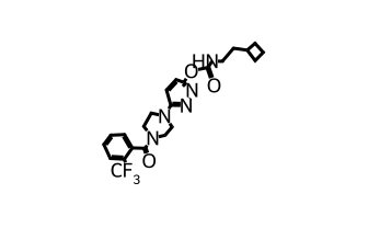 O=C(NCCC1CCC1)Oc1ccc(N2CCN(C(=O)c3ccccc3C(F)(F)F)CC2)nn1